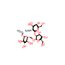 CCCCCCCCO[C@@H]1O[C@H](CO[C@H]2O[C@H](CO)[C@@H](O)[C@H](O)[C@@H]2O[C@@H]2O[C@H](CO)[C@@H](O)[C@H](O)[C@H]2NC(C)=O)[C@@H](O)[C@H](O)[C@H]1O